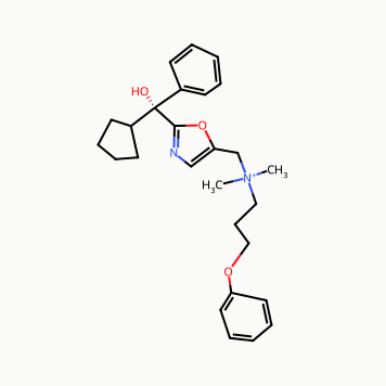 C[N+](C)(CCCOc1ccccc1)Cc1cnc([C@](O)(c2ccccc2)C2CCCC2)o1